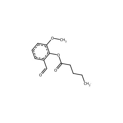 [CH2]CCCC(=O)Oc1c(C=O)cccc1OC